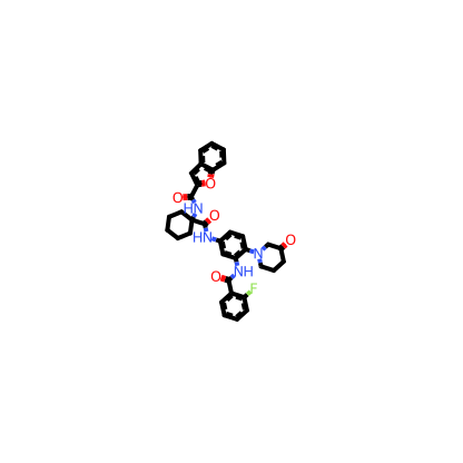 O=C1CCCN(c2ccc(NC(=O)C3(NC(=O)c4cc5ccccc5o4)CCCCC3)cc2NC(=O)c2ccccc2F)C1